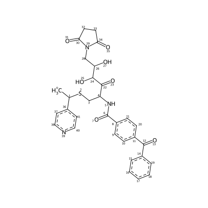 CC(SCC(NC(=O)c1ccc(C(=O)c2ccccc2)cc1)C(=O)C(O)C(O)CN1C(=O)CCC1=O)c1ccncc1